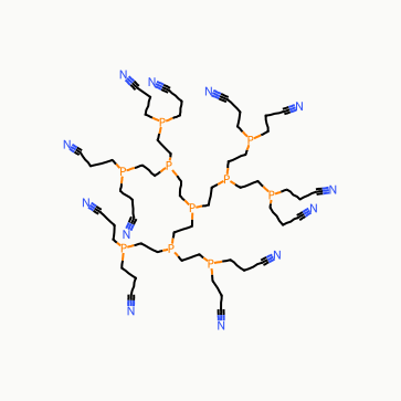 N#CCCP(CCC#N)CCP(CCP(CCC#N)CCC#N)CCP(CCP(CCP(CCC#N)CCC#N)CCP(CCC#N)CCC#N)CCP(CCP(CCC#N)CCC#N)CCP(CCC#N)CCC#N